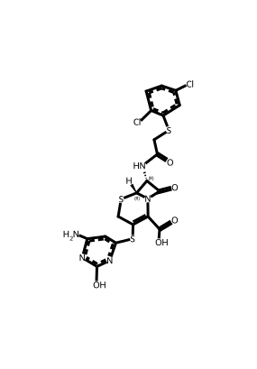 Nc1cc(SC2=C(C(=O)O)N3C(=O)[C@@H](NC(=O)CSc4cc(Cl)ccc4Cl)[C@H]3SC2)nc(O)n1